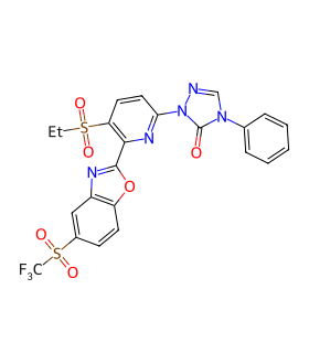 CCS(=O)(=O)c1ccc(-n2ncn(-c3ccccc3)c2=O)nc1-c1nc2cc(S(=O)(=O)C(F)(F)F)ccc2o1